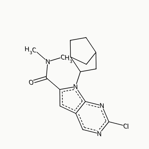 CN(C)C(=O)c1cc2cnc(Cl)nc2n1C1CC2CCC1C2